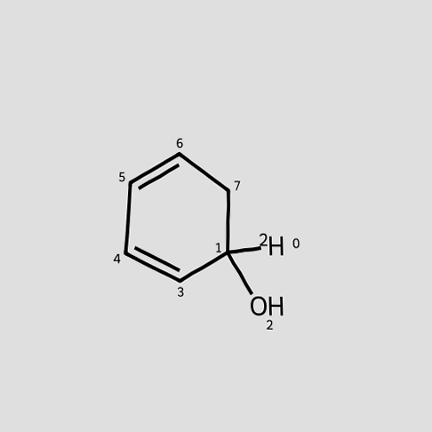 [2H]C1(O)C=CC=CC1